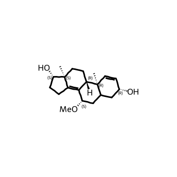 CO[C@H]1CC2C[C@@H](O)C=C[C@]2(C)[C@H]2CC[C@@]3(C)C(=C12)CC[C@@H]3O